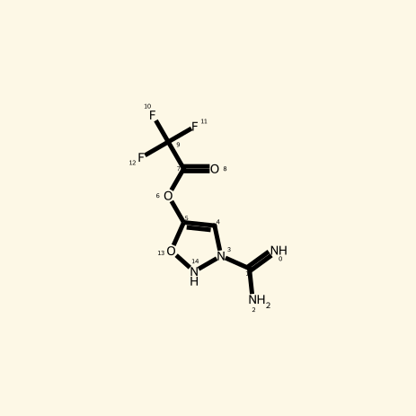 N=C(N)N1C=C(OC(=O)C(F)(F)F)ON1